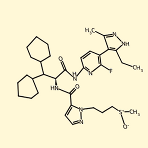 CCc1[nH]nc(C)c1-c1ccc(NC(=O)[C@@H](NC(=O)c2ccnn2CCC[S+](C)[O-])C(C2CCCCC2)C2CCCCC2)nc1F